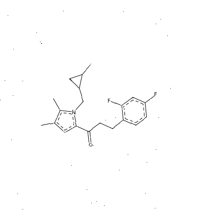 Cc1cc(C(=O)CCc2ccc(F)cc2F)n(CC2CC2C)c1C